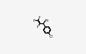 CC(C)C(C(F)=C(F)F)c1ccc(Cl)cc1